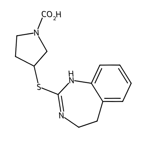 O=C(O)N1CCC(SC2=NCCc3ccccc3N2)C1